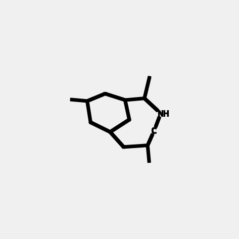 CC1CNC(C)C2CC(C)CC(C1)C2